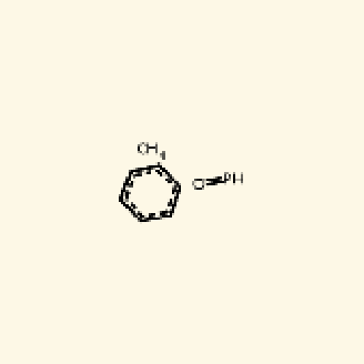 C.O=P.c1ccccc1